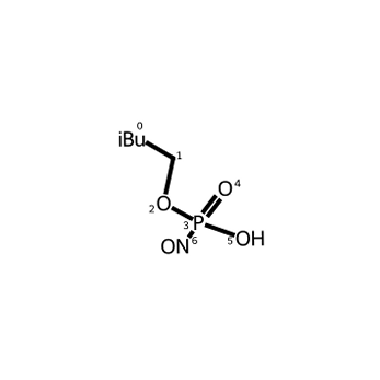 CCC(C)COP(=O)(O)N=O